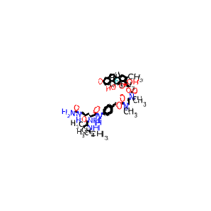 CC(C)N[C@H](C(=O)N[C@@H](CCCNC(N)=O)C(=O)Nc1ccc(COC(=O)N(C)CCN(C)C(=O)OCC(=O)[C@@]2(O)[C@H](C)C[C@H]3[C@@H]4CCC5=CC(=O)C=C[C@]5(C)[C@@]4(F)[C@@H](O)C[C@@]32C)cc1)C(C)C